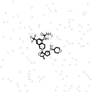 CC(C)[C@]1(C(=O)N2CCc3c(cc(C(F)(F)F)cc3NC(N)=O)C2)CC[C@@H](NC2CCOCC2)C1